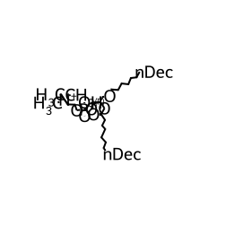 CCCCCCCCCCCCCCCCOC[C@H](COP(=O)(O)OCC[N+](C)(C)C)OC(=O)CCCCCCCCCCCCCCCC